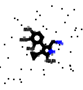 CCOC(=O)c1[nH]c(CN)c(-c2ccc(OC)c(OC)c2OC)c1C1CC1